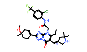 CCc1c(/C=C2/CNC(C)(C)C2)c(=O)n2nc(C3=CCC(C)(OC)CC3)nc2n1CC(=O)Nc1ccc(C(F)(F)F)cc1Cl